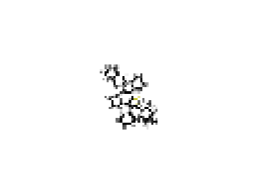 [2H]c1c([2H])c([2H])c(-c2sc3c(-c4ccccc4)c(-c4ccc5ccccc5c4)c4ccccc4c3c2-c2ccccc2)c([2H])c1[2H]